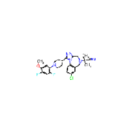 COc1cc(N2CCC(c3nnc4n3-c3ccc(Cl)cc3CN(C(C)(C)C#N)C4)CC2)c(F)cc1F